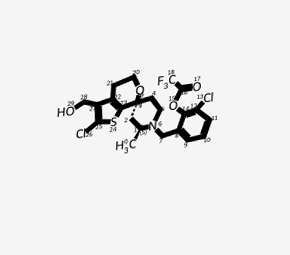 C[C@H]1C[C@@]2(CCN1Cc1cccc(Cl)c1OC(=O)C(F)(F)F)OCCc1c2sc(Cl)c1CO